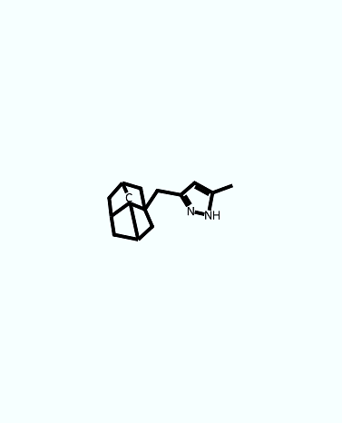 Cc1cc(CC23CC4CC(CC(C4)C2)C3)n[nH]1